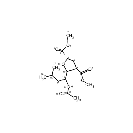 COC(=O)C1C[C@@H](C(=O)OC)OC1C(CC(C)C)NC(C)=O